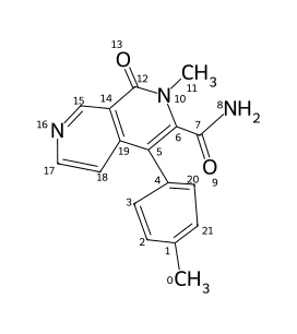 Cc1ccc(-c2c(C(N)=O)n(C)c(=O)c3cnccc23)cc1